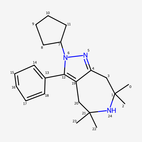 CC1(C)Cc2nn(C3CCCC3)c(-c3ccccc3)c2CC(C)(C)N1